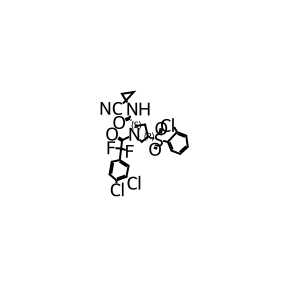 N#CC1(NC(=O)[C@@H]2C[C@@H](S(=O)(=O)c3ccccc3Cl)CN2C(=O)C(F)(F)c2ccc(Cl)c(Cl)c2)CC1